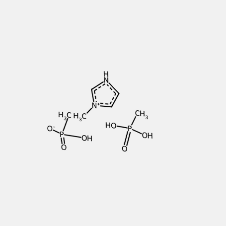 CP(=O)(O)O.CP(=O)([O-])O.C[n+]1cc[nH]c1